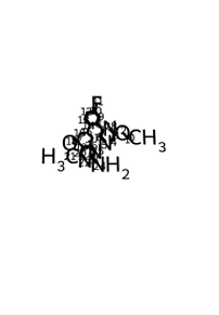 CCOc1cncc(-c2cc(F)ccc2C2CC(=O)c3c(C)nc(N)nc3C2)n1